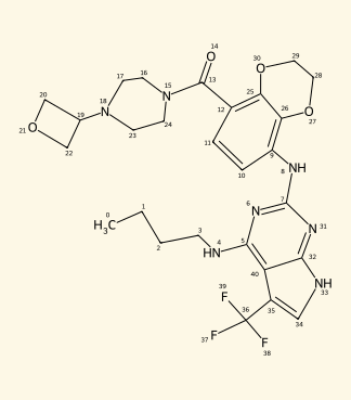 CCCCNc1nc(Nc2ccc(C(=O)N3CCN(C4COC4)CC3)c3c2OCCO3)nc2[nH]cc(C(F)(F)F)c12